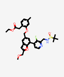 CCOC(=O)Cc1ccc(C)cc1OCc1cc(-c2ccnc(CN[S+]([O-])C(C)(C)C)c2F)c2oc(COC)cc2c1